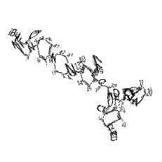 CCC(C)n1ncn(-c2ccc(N3CCN(c4ccc(OCC5COC(Cn6nccn6)(c6ccc(Cl)cc6Cl)O5)c(F)c4)CC3)cc2)c1=O